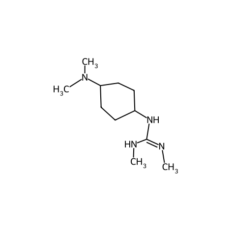 C/N=C(\NC)NC1CCC(N(C)C)CC1